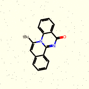 CC(C)(C)c1cc2ccccc2c2nc(=O)c3ccccc3n12